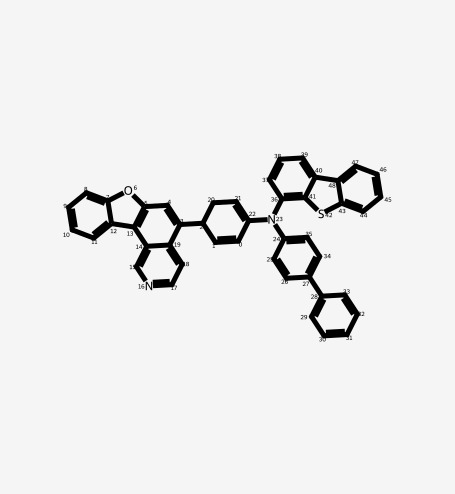 C1=CC(c2cc3oc4ccccc4c3c3cnccc23)CC=C1N(c1ccc(-c2ccccc2)cc1)c1cccc2c1sc1ccccc12